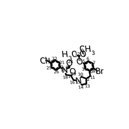 COC(C)Oc1ccc(Br)c(CC2CCN(CC3CN(c4ccc(Cl)cc4)C(=O)O3)C2)c1